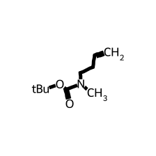 C=CCCN(C)C(=O)OC(C)(C)C